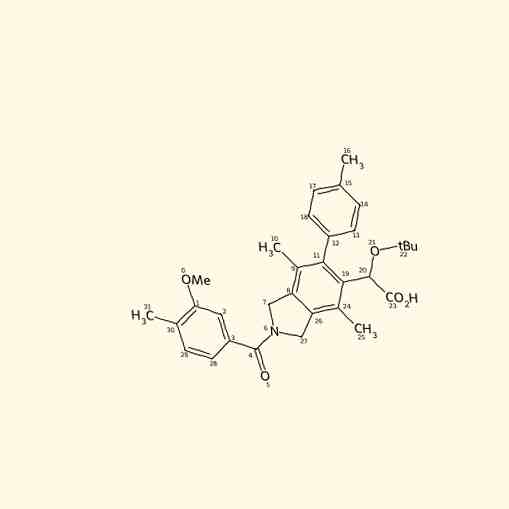 COc1cc(C(=O)N2Cc3c(C)c(-c4ccc(C)cc4)c(C(OC(C)(C)C)C(=O)O)c(C)c3C2)ccc1C